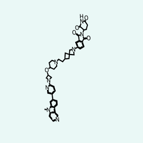 Cn1c2ccncc2c2ccc(-c3ccc(N4CC(OC5CCN(CCC6CC7(C6)CN(c6ccc8c(c6)C(=O)N(C6CCC(=O)NC6=O)C8=O)C7)CC5)C4)nc3)cc21